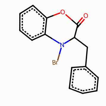 O=C1Oc2ccccc2N(Br)C1Cc1ccccc1